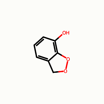 Oc1cccc2c1OOC2